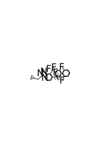 C[C@H](Oc1c(F)cccc1F)c1ccn2c(CC3CC3)nnc2c1C(F)(F)F